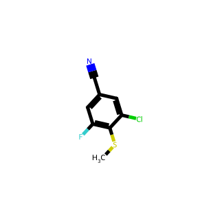 CSc1c(F)cc(C#N)cc1Cl